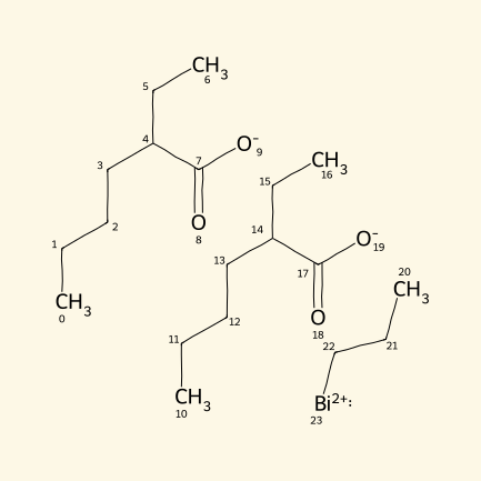 CCCCC(CC)C(=O)[O-].CCCCC(CC)C(=O)[O-].CC[CH2][Bi+2]